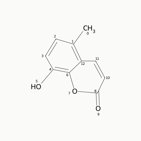 Cc1ccc(O)c2oc(=O)ccc12